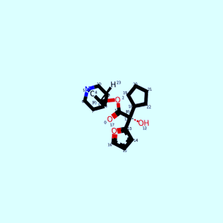 O=C(O[C@H]1CN2CCC1CC2)[C@](O)(c1ccco1)C1CCCC1